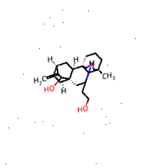 C=C1[C@H]2CC[C@@]3(CC[C@@H]4[C@@]5(C)CCC[C@@]4(CN(CCO)C5)[C@@H]3C2)[C@H]1O